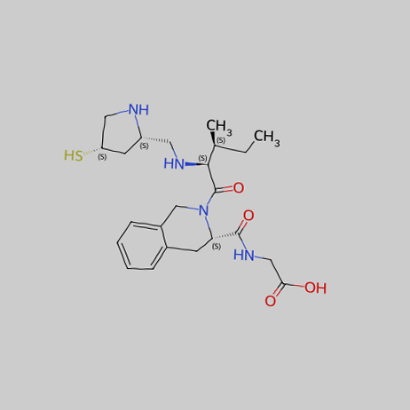 CC[C@H](C)[C@H](NC[C@@H]1C[C@H](S)CN1)C(=O)N1Cc2ccccc2C[C@H]1C(=O)NCC(=O)O